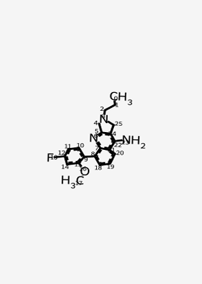 CCCN1Cc2nc3c(-c4ccc(F)cc4OC)cccc3c(N)c2C1